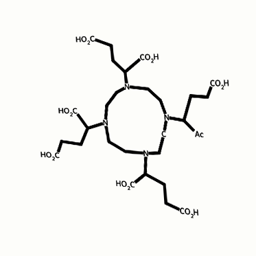 CC(=O)C(CCC(=O)O)N1CCN(C(CCC(=O)O)C(=O)O)CCN(C(CCC(=O)O)C(=O)O)CCN(C(CCC(=O)O)C(=O)O)CC1